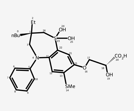 CCCC[C@]1(CC)CN(c2ccccc2)c2cc(SC)c(OC[C@@H](O)C(=O)O)cc2S(O)(O)C1